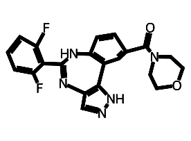 O=C(c1ccc2c(c1)-c1[nH]ncc1N=C(c1c(F)cccc1F)N2)N1CCOCC1